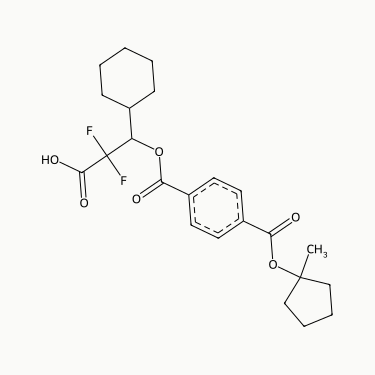 CC1(OC(=O)c2ccc(C(=O)OC(C3CCCCC3)C(F)(F)C(=O)O)cc2)CCCC1